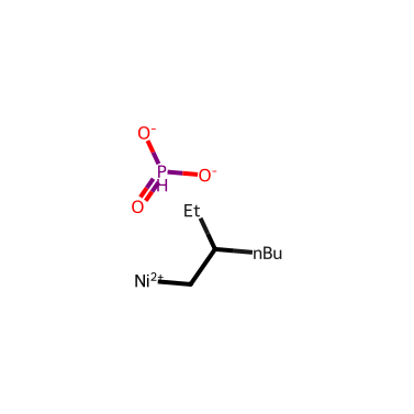 CCCCC(CC)[CH2][Ni+2].O=[PH]([O-])[O-]